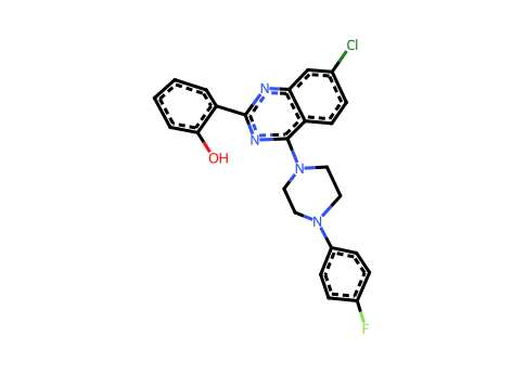 Oc1ccccc1-c1nc(N2CCN(c3ccc(F)cc3)CC2)c2ccc(Cl)cc2n1